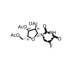 CC(=O)OC[C@H]1O[C@@H](n2cc(F)c(=O)[nH]c2=O)[C@H](OC(C)=O)[C@@H]1OC(C)=O